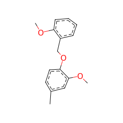 COc1ccccc1COc1ccc(C)cc1OC